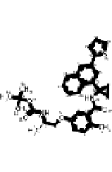 Cc1ccc(OC[C@H](C)NC(=O)OC(C)(C)C)cc1C(=O)NC1(c2cc(-c3cccs3)cc3ccccc23)CC1